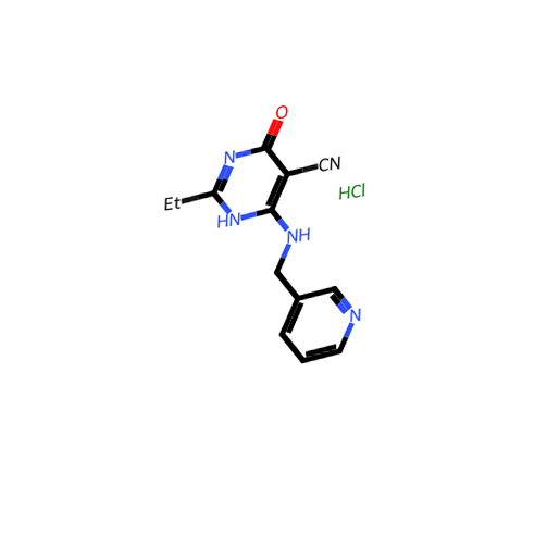 CCc1nc(=O)c(C#N)c(NCc2cccnc2)[nH]1.Cl